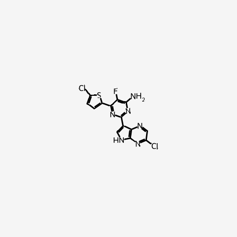 Nc1nc(-c2c[nH]c3nc(Cl)cnc23)nc(-c2ccc(Cl)s2)c1F